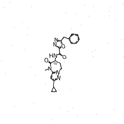 CN1C(=O)[C@@H](NC(=O)c2nnc(Cc3ccccc3)o2)CCn2nc(C3CC3)cc21